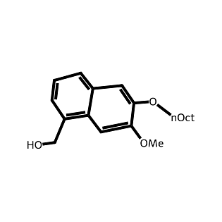 CCCCCCCCOc1cc2cccc(CO)c2cc1OC